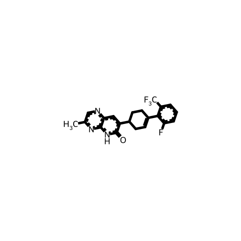 Cc1cnc2cc(C3CC=C(c4c(F)cccc4C(F)(F)F)CC3)c(=O)[nH]c2n1